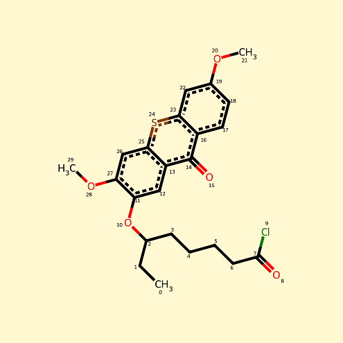 CCC(CCCCC(=O)Cl)Oc1cc2c(=O)c3ccc(OC)cc3sc2cc1OC